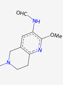 COc1nc2c(cc1NC=O)CN(C)CC2